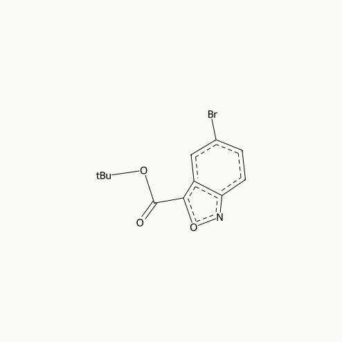 CC(C)(C)OC(=O)c1onc2ccc(Br)cc12